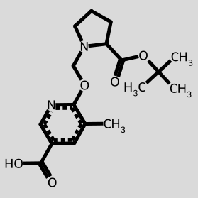 Cc1cc(C(=O)O)cnc1OCN1CCCC1C(=O)OC(C)(C)C